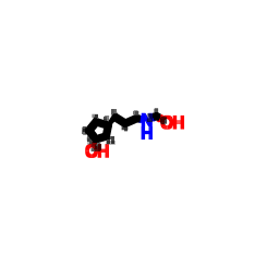 OCNCCC[C@@H]1CC[C@H](O)C1